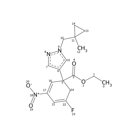 CCOC(=O)C1(c2cnn(CC3(C)CC3)c2)C=C([N+](=O)[O-])C=C(F)C1